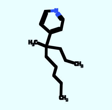 CCCCCC(C)(CCC)c1ccncc1